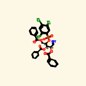 N=C[C@H](OC(=O)c1ccccc1)[C@H](OC(=O)c1ccccc1)[C@@H](COC(=O)c1ccccc1)OS(=O)(=O)c1cc(Cl)c(Cl)cc1Cl